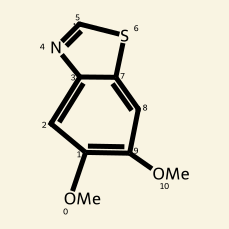 COc1cc2n[c]sc2cc1OC